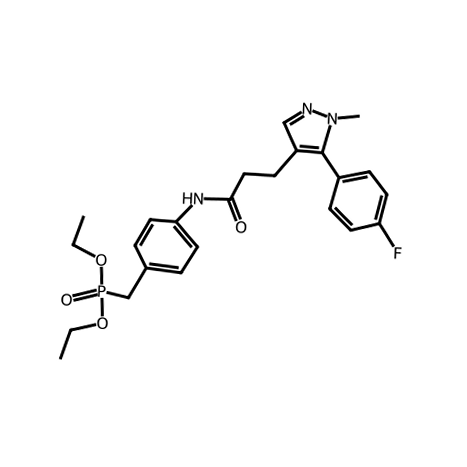 CCOP(=O)(Cc1ccc(NC(=O)CCc2cnn(C)c2-c2ccc(F)cc2)cc1)OCC